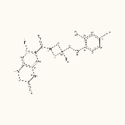 O=C1COc2cc(F)c(C(=O)N3CC(F)(COc4ccc(F)cc4Cl)C3)cc2N1